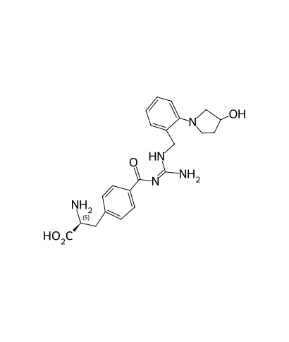 NC(=NC(=O)c1ccc(C[C@H](N)C(=O)O)cc1)NCc1ccccc1N1CCC(O)C1